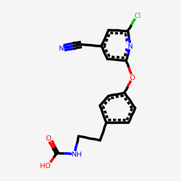 N#Cc1cc(Cl)nc(Oc2ccc(CCNC(=O)O)cc2)c1